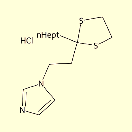 CCCCCCCC1(CCn2ccnc2)SCCS1.Cl